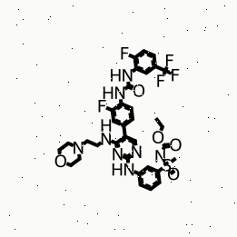 CCOC(=O)N=S(C)(=O)c1cccc(Nc2ncc(-c3ccc(NC(=O)Nc4cc(C(F)(F)F)ccc4F)c(F)c3)c(NCCN3CCOCC3)n2)c1